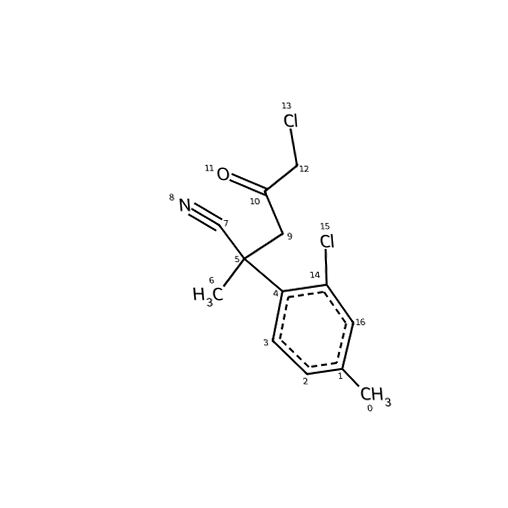 Cc1ccc(C(C)(C#N)CC(=O)CCl)c(Cl)c1